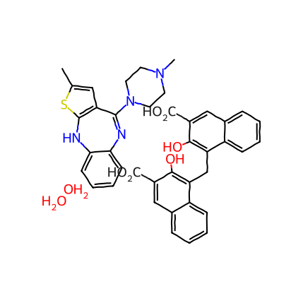 Cc1cc2c(s1)Nc1ccccc1N=C2N1CCN(C)CC1.O.O.O=C(O)c1cc2ccccc2c(Cc2c(O)c(C(=O)O)cc3ccccc23)c1O